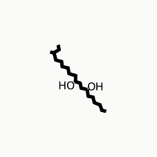 CCCCCCC(O)CCC(O)CCCCCCC(C)CC